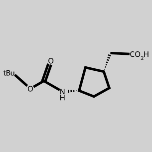 CC(C)(C)OC(=O)N[C@H]1CC[C@@H](CC(=O)O)C1